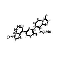 CCn1cnc2c(-c3ccc(F)c(-c4ccn5c(C)cnc5c4COC)c3)cnnc21